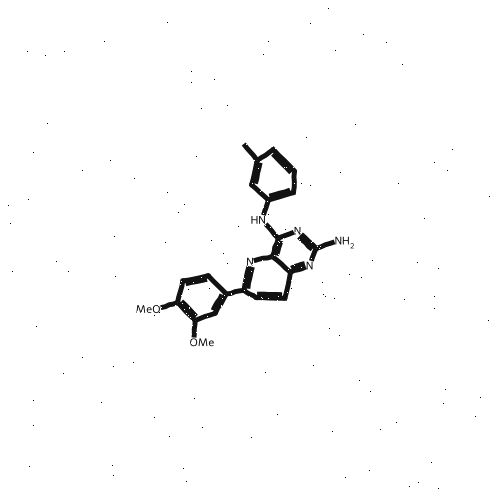 COc1ccc(-c2ccc3nc(N)nc(Nc4cccc(C)c4)c3n2)cc1OC